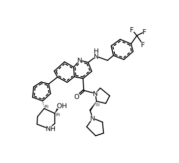 O=C(c1cc(NCc2ccc(C(F)(F)F)cc2)nc2ccc(-c3cccc([C@H]4CCNC[C@@H]4O)c3)cc12)N1CCC[C@H]1CN1CCCC1